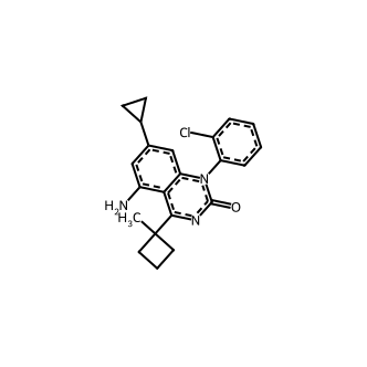 CC1(c2nc(=O)n(-c3ccccc3Cl)c3cc(C4CC4)cc(N)c23)CCC1